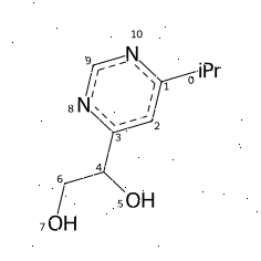 CC(C)c1cc(C(O)CO)ncn1